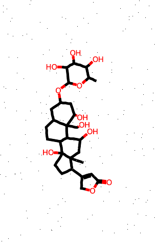 CC1OC(OC2CC(O)C3(CO)C(CCC4C3C(O)CC3(C)C(C5=CC(=O)OC5)CCC43O)C2)C(O)C(O)C1O